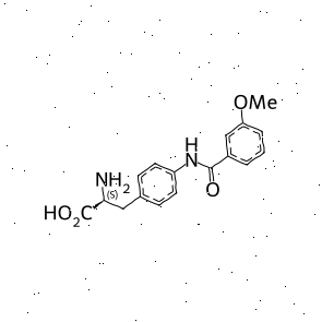 COc1cccc(C(=O)Nc2ccc(C[C@H](N)C(=O)O)cc2)c1